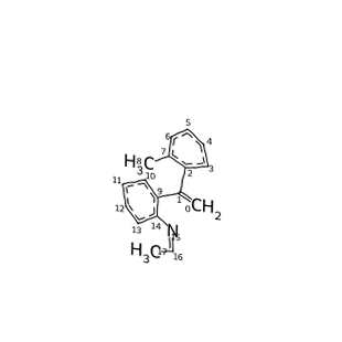 C=C(c1ccccc1C)c1ccccc1/N=C\C